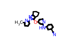 Cc1cccc(-n2nc3c(c2Oc2ccnc(Nc4cccc(C#N)c4)c2)CCCC3)n1